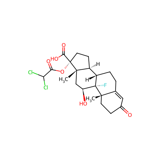 C[C@]12CCC(=O)C=C1CC[C@H]1[C@@H]3CC[C@](OC(=O)C(Cl)Cl)(C(=O)O)[C@@]3(C)C[C@H](O)[C@@]12F